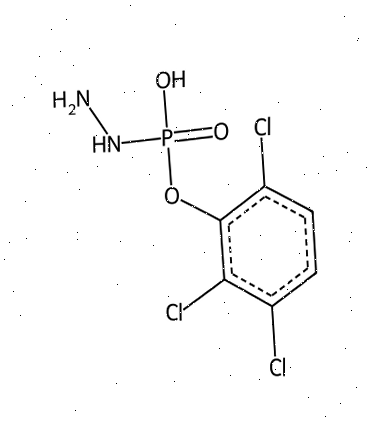 NNP(=O)(O)Oc1c(Cl)ccc(Cl)c1Cl